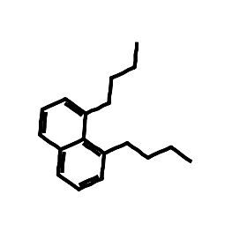 CCCCc1cccc2cccc(CCCC)c12